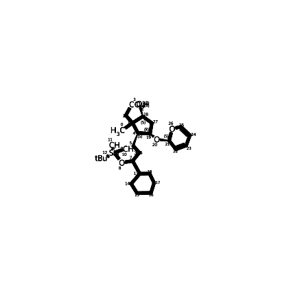 CC1(CC(=O)O)[C@H](CCC(O[Si](C)(C)C(C)(C)C)C2CCCCC2)[C@H](O[C@@H]2C=CC=CO2)C[C@@H]1O